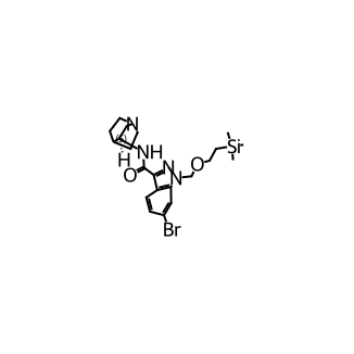 C[Si](C)(C)CCOCn1nc(C(=O)N[C@@H]2CN3CCC2CC3)c2ccc(Br)cc21